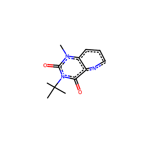 Cn1c(=O)n(C(C)(C)C)c(=O)c2ncccc21